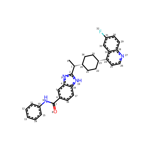 CC(c1nc2cc(C(=O)Nc3ccccc3)ccc2[nH]1)[C@H]1CC[C@@H](c2ccnc3ccc(F)cc32)CC1